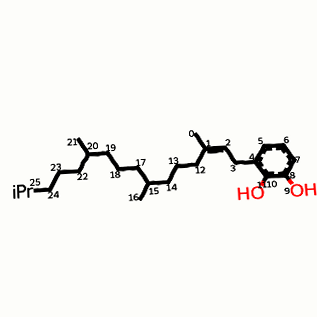 CC(=CCc1cccc(O)c1O)CCCC(C)CCCC(C)CCCC(C)C